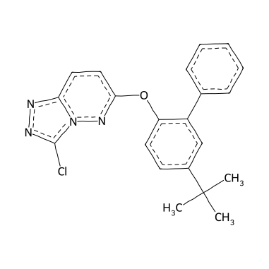 CC(C)(C)c1ccc(Oc2ccc3nnc(Cl)n3n2)c(-c2ccccc2)c1